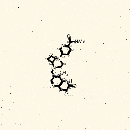 CCc1cc2ncc(CN3CCN(c4ccc(C(=O)NC)nc4)C4CCC43)c(C)c2[nH]c1=O